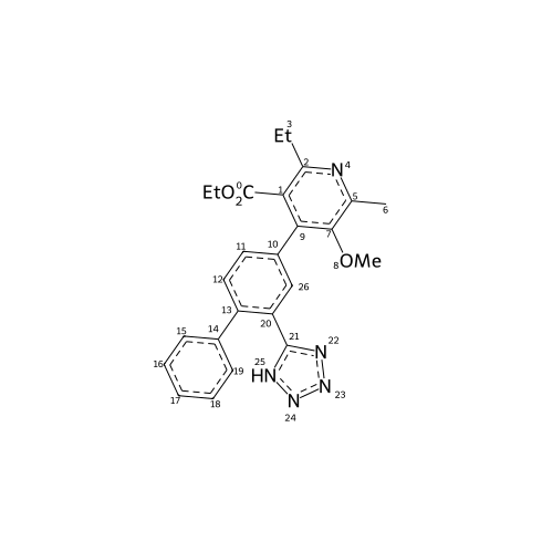 CCOC(=O)c1c(CC)nc(C)c(OC)c1-c1ccc(-c2ccccc2)c(-c2nnn[nH]2)c1